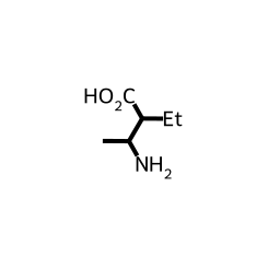 CCC(C(=O)O)C(C)N